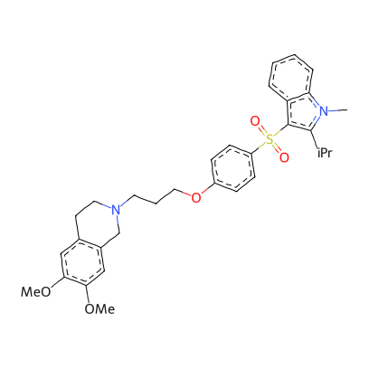 COc1cc2c(cc1OC)CN(CCCOc1ccc(S(=O)(=O)c3c(C(C)C)n(C)c4ccccc34)cc1)CC2